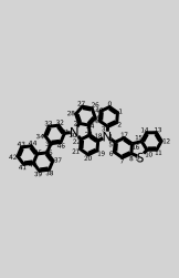 c1ccc(N(c2ccc3sc4ccccc4c3c2)c2cccc3c2c2ccccc2n3-c2cccc(-c3cccc4ccccc34)c2)cc1